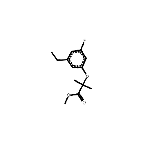 CCc1cc(F)cc(OC(C)(C)C(=O)OC)c1